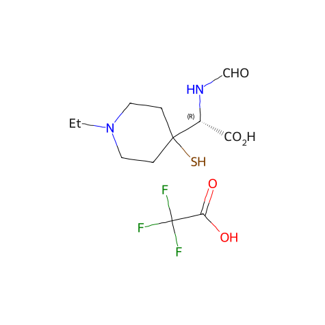 CCN1CCC(S)([C@H](NC=O)C(=O)O)CC1.O=C(O)C(F)(F)F